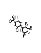 Cc1cc(C(=O)O)ccc1-c1cc(F)cc(F)c1F